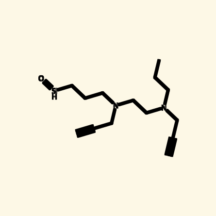 C#CCN(CCC)CCN(CC#C)CCC[SiH]=O